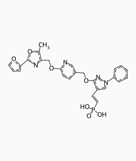 Cc1oc(-c2ccco2)nc1COc1ccc(COc2nn(-c3ccccc3)cc2C=CP(=O)(O)O)cn1